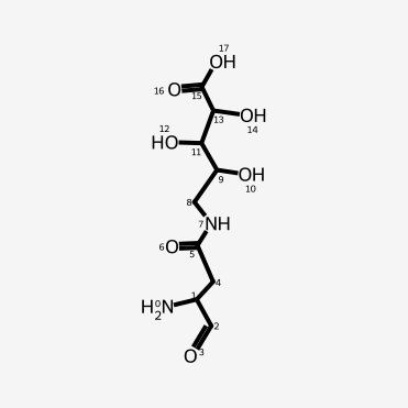 NC(C=O)CC(=O)NCC(O)C(O)C(O)C(=O)O